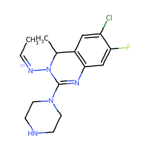 C/C=N\N1C(N2CCNCC2)=Nc2cc(F)c(Cl)cc2C1C